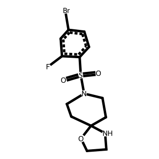 O=S(=O)(c1ccc(Br)cc1F)N1CCC2(CC1)NCCO2